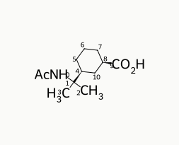 CC(=O)NC(C)(C)[C@H]1CCC[C@@H](C(=O)O)C1